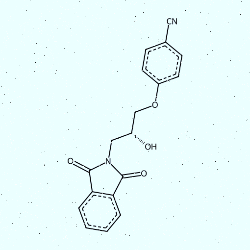 N#Cc1ccc(OC[C@H](O)CN2C(=O)c3ccccc3C2=O)cc1